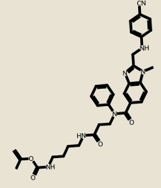 C=C(C)OC(=O)NCCCCNC(=O)CCN(C(=O)c1ccc2c(c1)nc(CNc1ccc(C#N)cc1)n2C)c1ccccc1